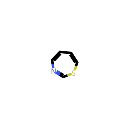 C1=CN=CSC=C1